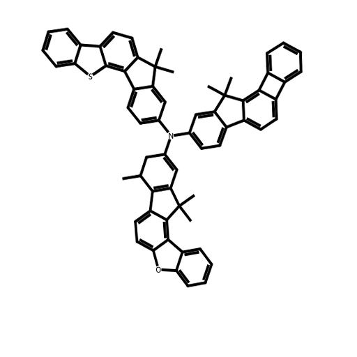 CC1CC(N(c2ccc3c(c2)C(C)(C)c2ccc4c(sc5ccccc54)c2-3)c2ccc3c(c2)C(C)(C)c2c-3ccc3c2-c2ccccc2-3)=CC2=C1c1ccc3oc4ccccc4c3c1C2(C)C